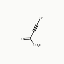 O=C(O)C(=O)C#CBr